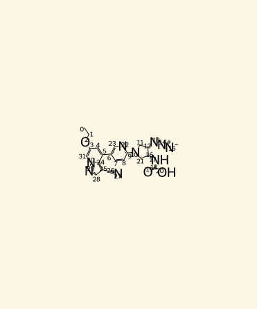 CCOc1cc(-c2ccc(N3C[C@H](N=[N+]=[N-])[C@@H](NC(=O)O)C3)nc2)c2c(C#N)cnn2c1